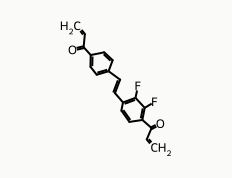 C=CC(=O)c1ccc(C=Cc2ccc(C(=O)C=C)c(F)c2F)cc1